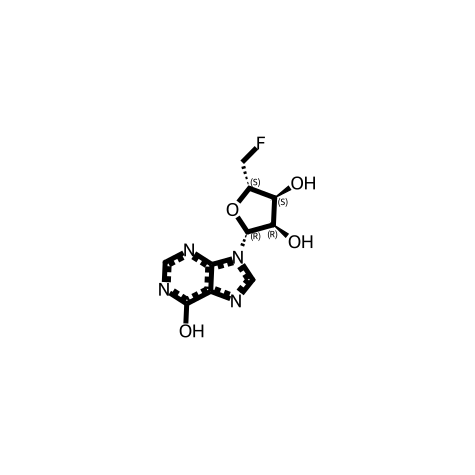 Oc1ncnc2c1ncn2[C@@H]1O[C@H](CF)[C@@H](O)[C@H]1O